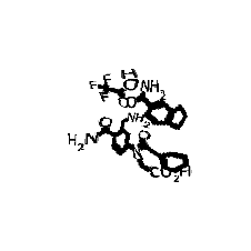 NC(=O)c1ccc2c(c1)CCC2.NCc1cc(N(CC(=O)O)C(=O)c2ccccc2)ccc1C(N)=O.O=C(O)C(F)(F)F